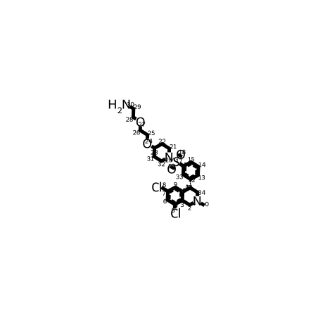 CN1Cc2c(Cl)cc(Cl)cc2[C@H](c2cccc(S(=O)(=O)N3CCC(OCCOCCN)CC3)c2)C1